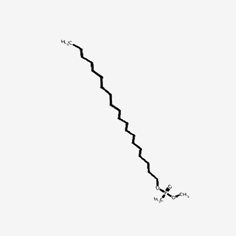 CCCCCCCCCCCCCCCCCCCCOP(C)(=O)OC